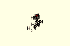 NC1CCC(Nc2nccc(-c3cnccc3Oc3ccc(NS(=O)(=O)[C@H]4CC5CC[C@@H]4C5)cc3F)n2)CC1